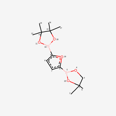 CC1(C)COB(c2ccc(B3OC(C)(C)C(C)(C)O3)o2)O1